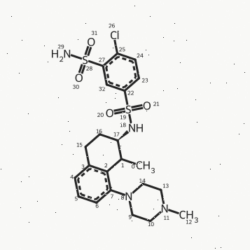 CC1c2c(cccc2N2CCN(C)CC2)CC[C@H]1NS(=O)(=O)c1ccc(Cl)c(S(N)(=O)=O)c1